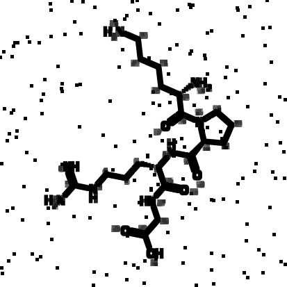 N=C(N)NCCC[C@H](NC(=O)[C@@H]1CCCN1C(=O)[C@@H](N)CCCCN)C(=O)NCC(=O)O